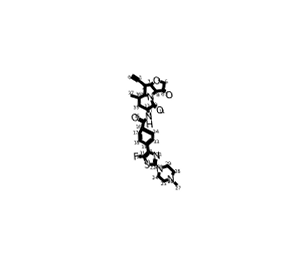 C#CC1C2OCC(=O)C2N2C(=O)[C@@H](NC(=O)c3ccc(-c4nc(N5CCN(C)CC5)sc4F)cc3)CC(C)C12